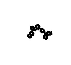 c1cc(-c2ccc(-n3c4ccccc4c4cnccc43)cc2)nc(-c2cccc(-c3ccc4ccccc4c3)n2)c1